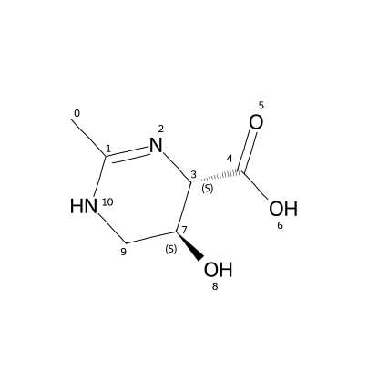 CC1=N[C@H](C(=O)O)[C@@H](O)CN1